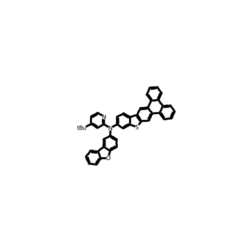 CC(C)(C)c1ccnc(N(c2ccc3c(c2)sc2cc4c5ccccc5c5ccccc5c4cc23)c2ccc3oc4ccccc4c3c2)c1